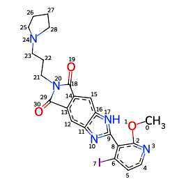 COc1nccc(I)c1-c1nc2cc3c(cc2[nH]1)C(=O)N(CCCN1CCCC1)C3=O